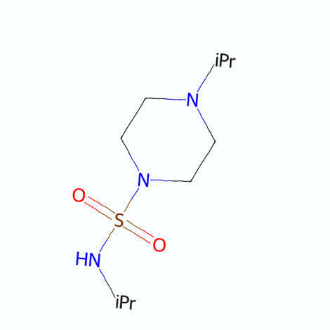 CC(C)NS(=O)(=O)N1CCN(C(C)C)CC1